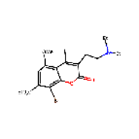 CCOC(=O)c1cc(OC)c2c(C)c(CCN(CC)CC)c(=O)oc2c1Br